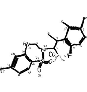 Cc1ccc(F)c(C(C)C(C(=O)O)N2CNc3cc(Cl)ccc3S2(=O)=O)c1C